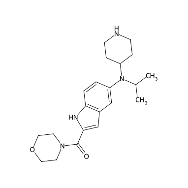 CC(C)N(c1ccc2[nH]c(C(=O)N3CCOCC3)cc2c1)C1CCNCC1